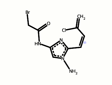 C=C(Cl)/C=C\c1nc(NC(=O)CBr)cn1N